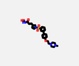 CN1CCN(CCOc2ccc(-c3cccc(S(=O)(=O)n4ccc(/C=C/C(=O)NO)c4)c3)cc2)CC1